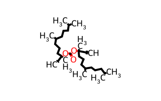 C#CC(C)(CCCC(C)CCCC(C)C)OC(=O)OC(C)(C#C)CCCC(C)CCCC(C)C